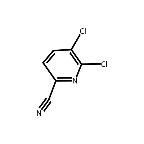 N#Cc1ccc(Cl)c(Cl)n1